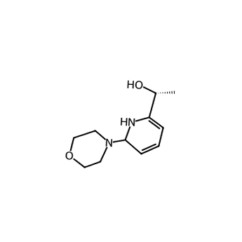 C[C@@H](O)C1=CC=CC(N2CCOCC2)N1